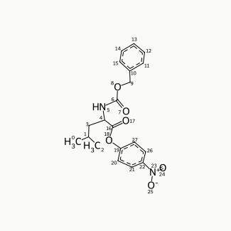 CC(C)CC(NC(=O)OCc1ccccc1)C(=O)Oc1ccc([N+](=O)[O-])cc1